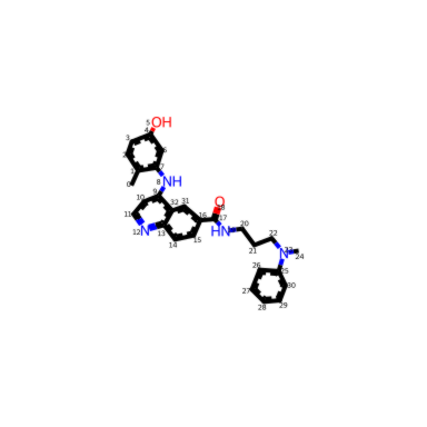 Cc1ccc(O)cc1Nc1ccnc2ccc(C(=O)NCCCN(C)c3ccccc3)cc12